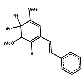 [2H]C1(C(C)C)C(OC)=CC(/C=C/c2ccccc2)=C(Br)C1OC